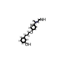 C/C(=C\C=N)c1ccc(OCCCc2cccc(O)c2)cn1